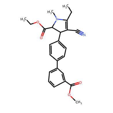 CCOC(=O)C1C(c2ccc(-c3cccc(C(=O)OC)c3)cc2)C(C#N)=C(CC)N1C